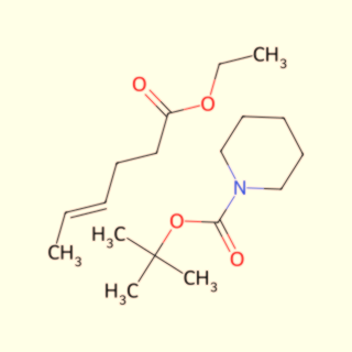 CC(C)(C)OC(=O)N1CCCCC1.CC=CCCC(=O)OCC